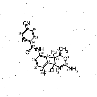 C=C1OC(N)=N[C@](C)(c2cc(NC(=O)c3ccc(C#N)cn3)ccc2F)C1(F)F